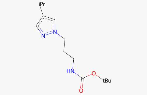 CC(C)c1cnn(CCCNC(=O)OC(C)(C)C)c1